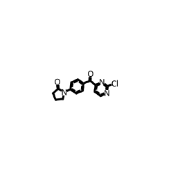 O=C(c1ccc(N2CCCC2=O)cc1)c1ccnc(Cl)n1